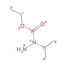 CCOC(=O)N(N)C(C)C